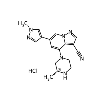 C[C@H]1CN(c2cc(-c3cnn(C)c3)cn3ncc(C#N)c23)CCN1.Cl